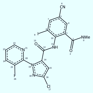 CNC(=O)c1cc(C#N)cc(I)c1NC(=O)c1cc(Cl)nn1-c1ncccc1F